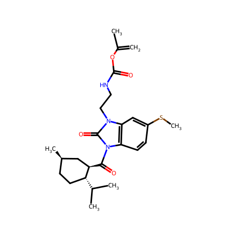 C=C(C)OC(=O)NCCn1c(=O)n(C(=O)[C@@H]2C[C@H](C)CC[C@H]2C(C)C)c2ccc(SC)cc21